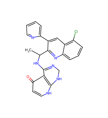 CC(NC1=NCNc2[nH]ccc(=O)c21)c1nc2cccc(Cl)c2cc1-c1ccccn1